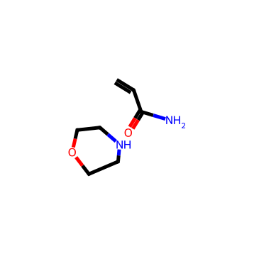 C1COCCN1.C=CC(N)=O